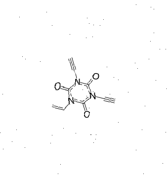 C#Cn1c(=O)n(C#C)c(=O)n(C=C)c1=O